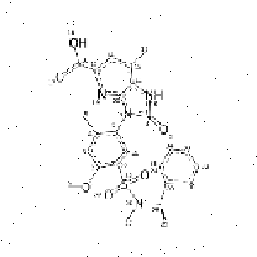 COc1cc(C)c(-n2c(=O)[nH]c3c(C)cc(C(=O)O)nc32)cc1S(=O)(=O)N(C)[C@H](C)c1ccccc1